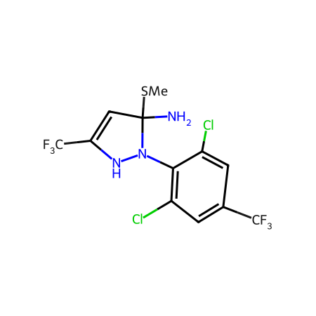 CSC1(N)C=C(C(F)(F)F)NN1c1c(Cl)cc(C(F)(F)F)cc1Cl